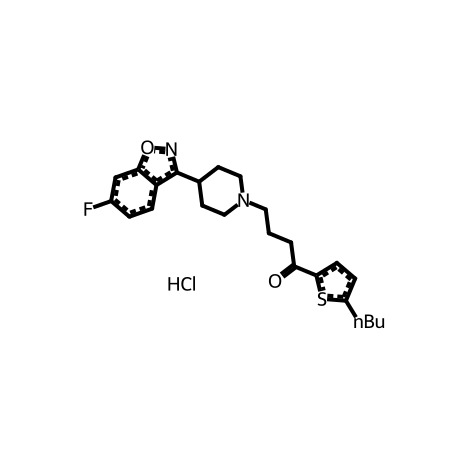 CCCCc1ccc(C(=O)CCCN2CCC(c3noc4cc(F)ccc34)CC2)s1.Cl